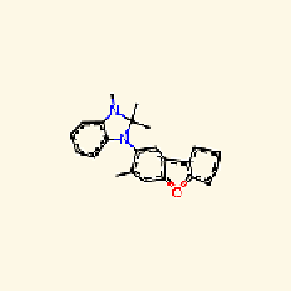 Cc1cc2oc3ccccc3c2cc1N1c2ccccc2N(C)C1(C)C